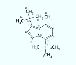 Cc1ccc(C(C)(C)C)n2ncc(C(C)(C)C)c12